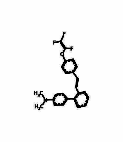 CN(C)c1ccc(-c2ccccc2C=Cc2ccc(OC(F)=C(F)F)cc2)cc1